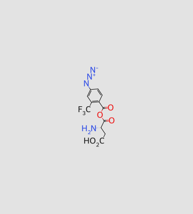 [N-]=[N+]=Nc1ccc(C(=O)OC(=O)[C@@H](N)CC(=O)O)c(C(F)(F)F)c1